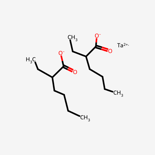 CCCCC(CC)C(=O)[O-].CCCCC(CC)C(=O)[O-].[Ta+2]